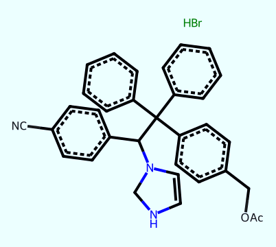 Br.CC(=O)OCc1ccc(C(c2ccccc2)(c2ccccc2)C(c2ccc(C#N)cc2)N2C=CNC2)cc1